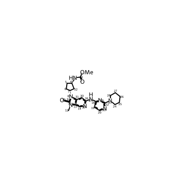 COC(=O)N[C@@H]1CC[C@@H](n2c(=O)n(C)c3cnc(Nc4ccnc(N5CCCCC5)n4)cc32)C1